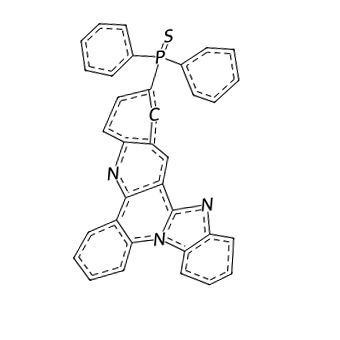 S=P(c1ccccc1)(c1ccccc1)c1ccc2nc3c4ccccc4n4c5ccccc5nc4c3cc2c1